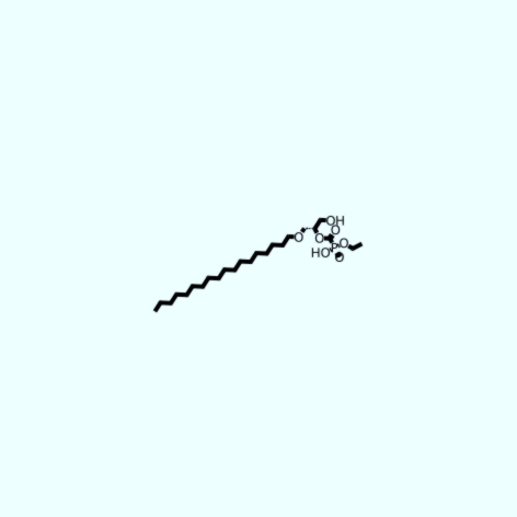 CCCCCCCCCCCCCCCCCCOC[C@H](CO)OC(=O)P(=O)(O)OCC